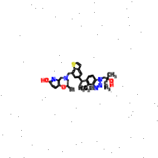 CCOC(=O)CC(c1cc(CN2Cc3nc(O)ccc3O[C@H](CC)C2)c2sccc2c1)c1ccc2c(nnn2CC(C)(C)O)c1C